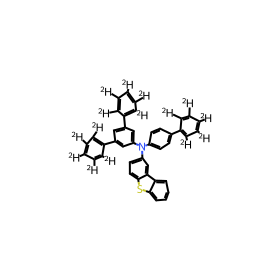 [2H]c1c([2H])c([2H])c(-c2ccc(N(c3cc(-c4c([2H])c([2H])c([2H])c([2H])c4[2H])cc(-c4c([2H])c([2H])c([2H])c([2H])c4[2H])c3)c3ccc4sc5ccccc5c4c3)cc2)c([2H])c1[2H]